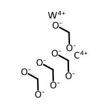 [C+4].[O-]C[O-].[O-]C[O-].[O-]C[O-].[O-]C[O-].[W+4]